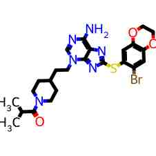 CC(C)C(=O)N1CCC(CCn2cnc(N)c3nc(Sc4cc5c(cc4Br)OCCO5)nc2-3)CC1